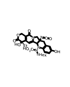 CCCCCCN(C(=O)O)N1c2ccc(O)cc2CC2(N=C=O)Cn3c(cc4c(c3=O)COC(=O)[C@]4(O)CC)C12